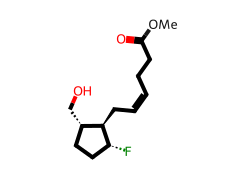 COC(=O)CC/C=C\C[C@@H]1[C@@H](CO)CC[C@H]1F